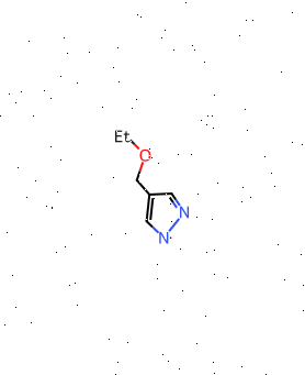 CCOCC1=C[N]N=C1